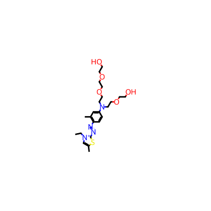 CC[n+]1cc(C)sc1/N=N/c1ccc(N(CCOCCO)CCOCCOCCO)cc1C